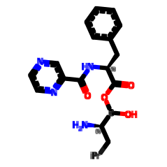 CC(C)C[C@@H](N)B(O)OC(=O)[C@H](Cc1ccccc1)NC(=O)c1cnccn1